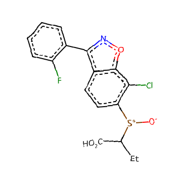 CCC(C(=O)O)[S+]([O-])c1ccc2c(-c3ccccc3F)noc2c1Cl